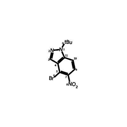 CC(C)(C)n1ncc2c(Br)c([N+](=O)[O-])ccc21